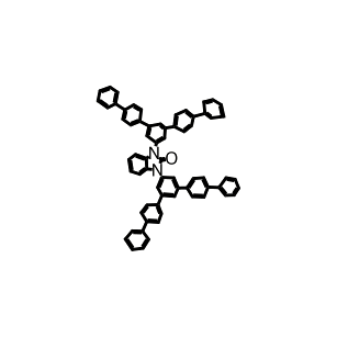 O=c1n(-c2cc(-c3ccc(-c4ccccc4)cc3)cc(-c3ccc(-c4ccccc4)cc3)c2)c2ccccc2n1-c1cc(-c2ccc(-c3ccccc3)cc2)cc(-c2ccc(-c3ccccc3)cc2)c1